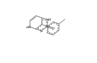 Cc1cccc(-c2c3nc(=O)[nH]c2C=CN3)c1